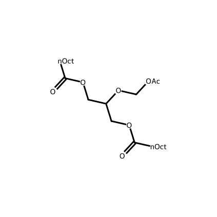 CCCCCCCCC(=O)OCC(COC(=O)CCCCCCCC)OCOC(C)=O